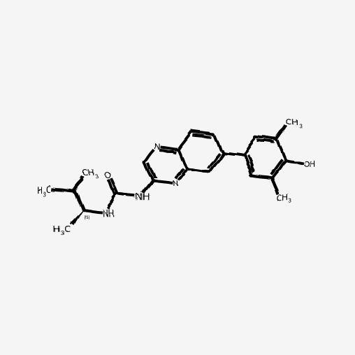 Cc1cc(-c2ccc3ncc(NC(=O)N[C@@H](C)C(C)C)nc3c2)cc(C)c1O